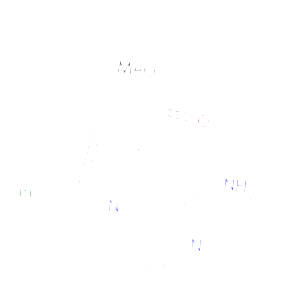 COC(=O)c1cc(Br)n2ccnc(N)c12